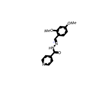 COc1ccc(/C=N/NC(=O)c2ccncc2)c(OC)c1